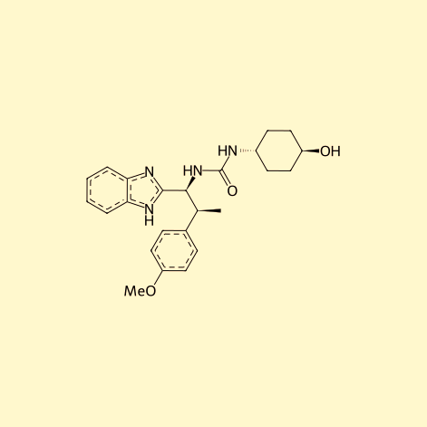 COc1ccc([C@H](C)[C@H](NC(=O)N[C@H]2CC[C@H](O)CC2)c2nc3ccccc3[nH]2)cc1